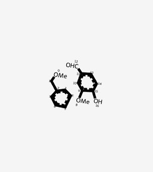 COCc1ccccc1.COc1cc(C=O)ccc1O